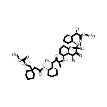 CCCCOC(=O)[C@@H](CC)[C@@H]1CCCC[C@@H]1NC(CC)(CC)C(=O)[C@@H](CC)[C@@H]1CCCC[C@@H]1NC(C)C(=O)[C@@H](CC)[C@@H]1CCCC[C@@H]1NC(=O)CC1(CNC(=O)OC(C)(C)C)CCCCC1